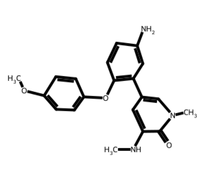 CNc1cc(-c2cc(N)ccc2Oc2ccc(OC)cc2)cn(C)c1=O